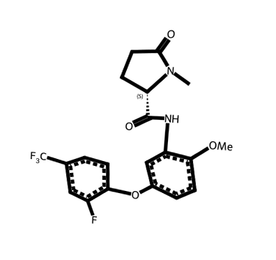 COc1ccc(Oc2ccc(C(F)(F)F)cc2F)cc1NC(=O)[C@@H]1CCC(=O)N1C